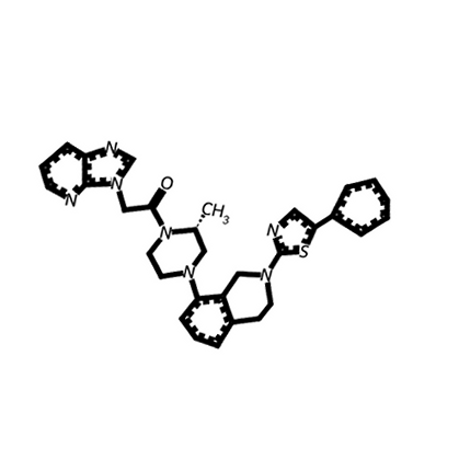 C[C@@H]1CN(c2cccc3c2CN(c2ncc(-c4ccccc4)s2)CC3)CCN1C(=O)Cn1cnc2cccnc21